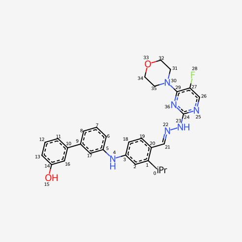 CC(C)c1cc(Nc2cccc(-c3cccc(O)c3)c2)ccc1/C=N/Nc1ncc(F)c(N2CCOCC2)n1